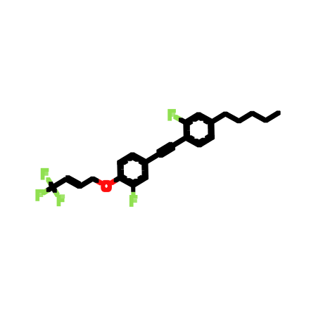 CCCCCc1ccc(C#Cc2ccc(OCC=CC(F)(F)F)c(F)c2)c(F)c1